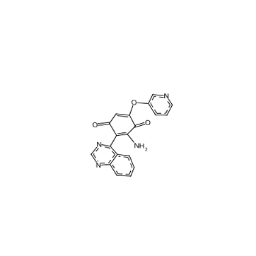 NC1=C(c2ncnc3ccccc23)C(=O)C=C(Oc2cccnc2)C1=O